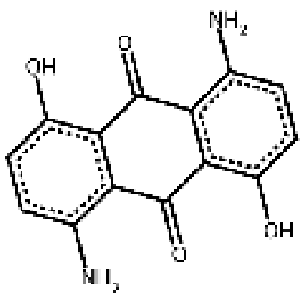 Nc1ccc(O)c2c1C(=O)c1c(O)ccc(N)c1C2=O